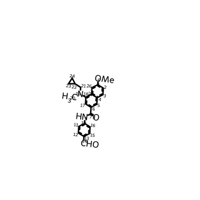 COc1ccc2cc(C(=O)Nc3ccc(C=O)cc3)cc(N(C)CC3CC3)c2c1